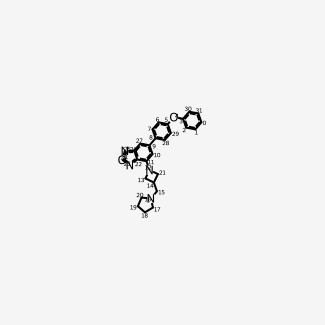 c1ccc(Oc2ccc(-c3cc(N4CC(CN5CCCC5)C4)c4nonc4c3)cc2)cc1